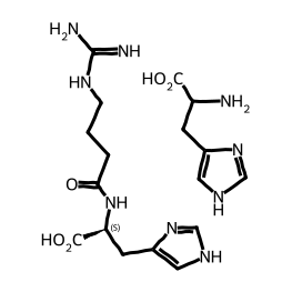 N=C(N)NCCCC(=O)N[C@@H](Cc1c[nH]cn1)C(=O)O.NC(Cc1c[nH]cn1)C(=O)O